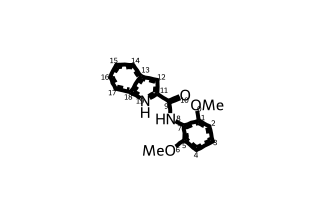 COc1cccc(OC)c1NC(=O)c1cc2ccccc2[nH]1